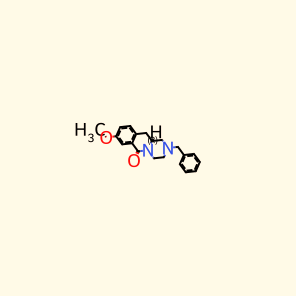 COc1ccc2c(c1)C(=O)N1CCN(Cc3ccccc3)C[C@H]1C2